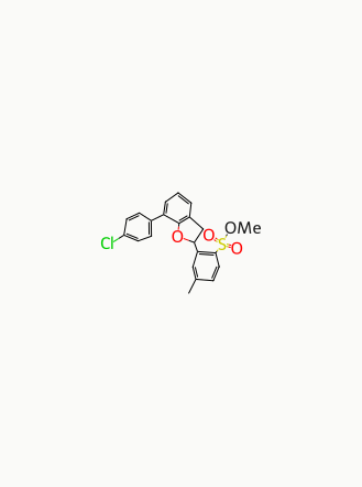 COS(=O)(=O)c1ccc(C)cc1C1Cc2cccc(-c3ccc(Cl)cc3)c2O1